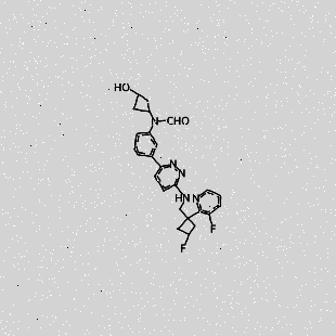 O=CN(c1cccc(-c2ccc(NCC3(c4ncccc4F)CC(F)C3)nn2)c1)C1CC(O)C1